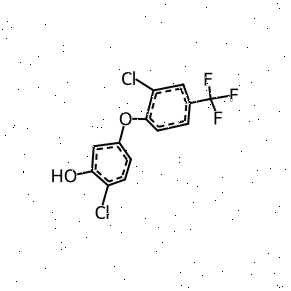 Oc1cc(Oc2ccc(C(F)(F)F)cc2Cl)ccc1Cl